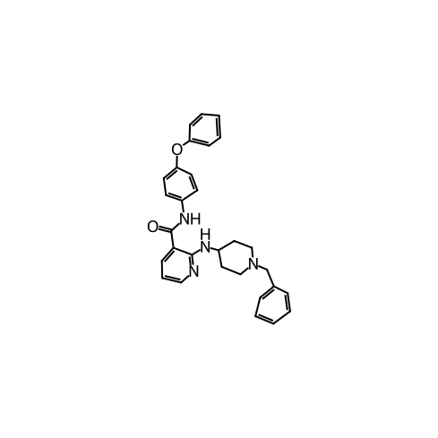 O=C(Nc1ccc(Oc2ccccc2)cc1)c1cccnc1NC1CCN(Cc2ccccc2)CC1